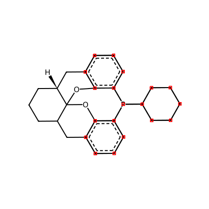 c1cc2c(c(P(C3CCCCC3)C3CCCCC3)c1)OC13Oc4c(cccc4P(C4CCCCC4)C4CCCCC4)C[C@H]1CCCC3C2